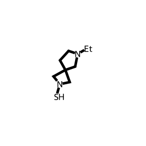 CCN1CCC2(CN(S)C2)C1